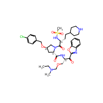 CCN(C)COC[C@H](NC(=O)[C@@H]1C[C@@H](OCc2ccc(Cl)cc2)CN1C(=O)[C@@H](CCC1CCNCC1)NS(C)(=O)=O)C(=O)c1nc2ccccc2o1